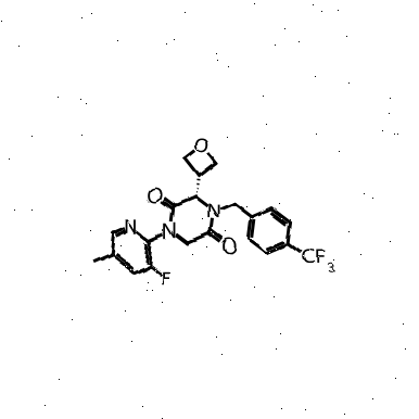 Cc1cnc(N2CC(=O)N(Cc3ccc(C(F)(F)F)cc3)[C@@H](C3COC3)C2=O)c(F)c1